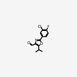 CC(C)c1oc(-c2ccc(F)c(Cl)c2)nc1C=O